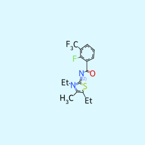 CCc1s/c(=N\C(=O)c2cccc(C(F)(F)F)c2F)n(CC)c1C